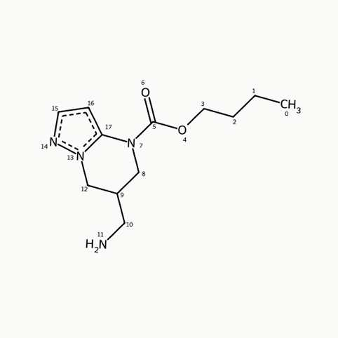 CCCCOC(=O)N1CC(CN)Cn2nccc21